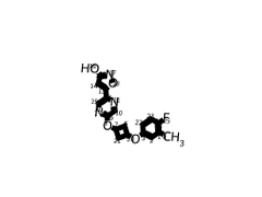 Cc1cc(OC2CC(Oc3cnc(-c4cc(O)no4)cn3)C2)ccc1F